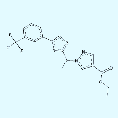 CCOC(=O)c1cnn(C(C)c2nc(-c3cccc(C(F)(F)F)c3)cs2)c1